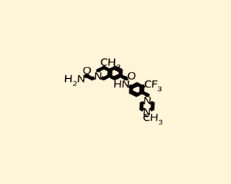 C[C@@H]1CN(CC(N)=O)Cc2cc(C(=O)Nc3ccc(CN4CCN(C)CC4)c(C(F)(F)F)c3)ccc21